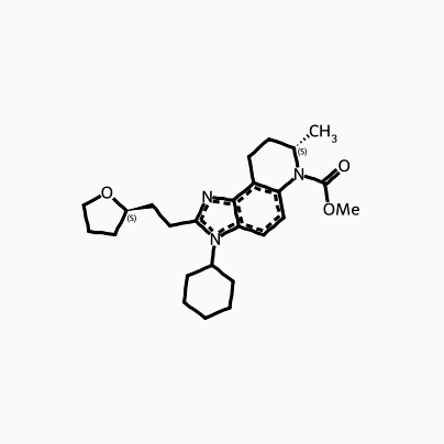 COC(=O)N1c2ccc3c(nc(CC[C@H]4CCCO4)n3C3CCCCC3)c2CC[C@@H]1C